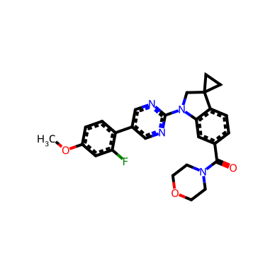 COc1ccc(-c2cnc(N3CC4(CC4)c4ccc(C(=O)N5CCOCC5)cc43)nc2)c(F)c1